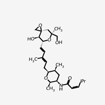 CC(/C=C/[C@H]1O[C@](C)(CO)C[C@@]2(CO2)[C@@H]1O)=C\C[C@@H]1O[C@H](C)[C@H](NC(=O)/C=C\C(C)C)C[C@@H]1C